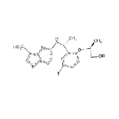 C[C@@H](CO)Oc1ccc(F)cc1[C@@H](C)Nc1ccn2ncc(C(=O)O)c2n1